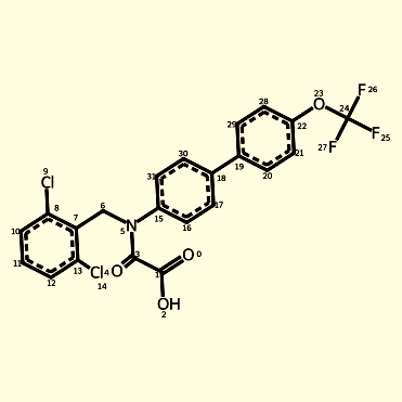 O=C(O)C(=O)N(Cc1c(Cl)cccc1Cl)c1ccc(-c2ccc(OC(F)(F)F)cc2)cc1